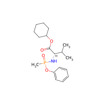 CC(C)[C@H](NP(C)(=O)Oc1ccccc1)C(=O)OC1CCCCC1